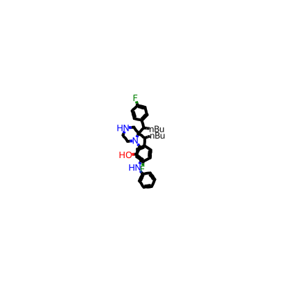 CCCCC(c1ccc(F)cc1)C1(C(CCCC)c2ccc(F)cc2)CNCCN1CC(O)CNc1ccccc1